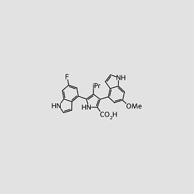 COc1cc(-c2c(C(=O)O)[nH]c(-c3cc(F)cc4[nH]ccc34)c2C(C)C)c2cc[nH]c2c1